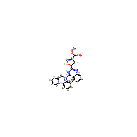 CCOC(O)C1=NOC(c2nc(NCc3ccccn3)c3c(-c4ccccc4)cccc3n2)C1